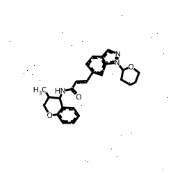 CC1COc2ccccc2C1NC(=O)C=Cc1ccc2cnn(C3CCCCO3)c2c1